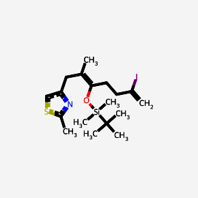 C=C(I)CCC(O[Si](C)(C)C(C)(C)C)=C(C)Cc1csc(C)n1